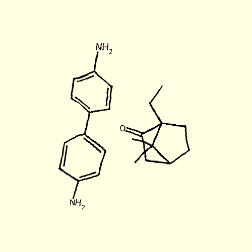 CCC12CCC(CC1=O)C2(C)C.Nc1ccc(-c2ccc(N)cc2)cc1